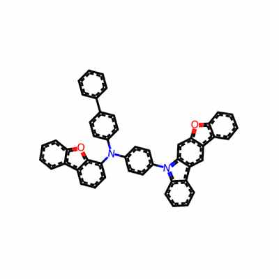 c1ccc(-c2ccc(N(c3ccc(-n4c5ccccc5c5cc6c(cc54)oc4ccccc46)cc3)c3cccc4c3oc3ccccc34)cc2)cc1